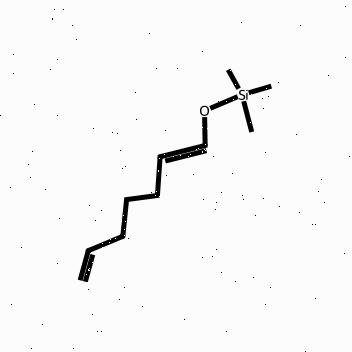 C=CCCC/C=C/O[Si](C)(C)C